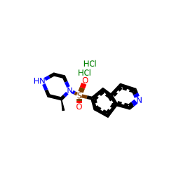 C[C@H]1CNCCN1S(=O)(=O)c1ccc2cnccc2c1.Cl.Cl